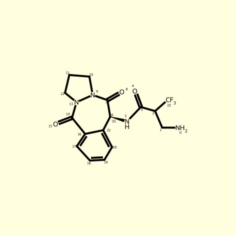 NCC(C(=O)N[C@@H]1C(=O)N2CCCN2C(=O)c2ccccc21)C(F)(F)F